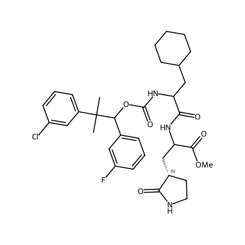 COC(=O)C(C[C@@H]1CCNC1=O)NC(=O)C(CC1CCCCC1)NC(=O)OC(c1cccc(F)c1)C(C)(C)c1cccc(Cl)c1